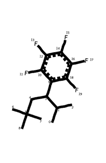 CC(C)C(CC(C)(C)C)c1c(F)c(F)c(F)c(F)c1F